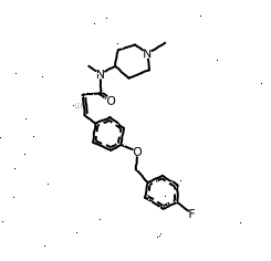 CN1CCC(N(C)C(=O)/C=C\c2ccc(OCc3ccc(F)cc3)cc2)CC1